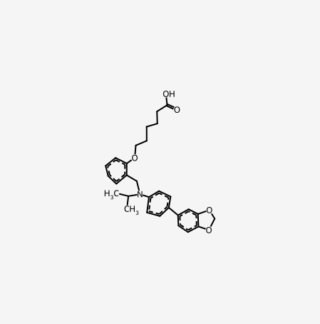 CC(C)N(Cc1ccccc1OCCCCCC(=O)O)c1ccc(-c2ccc3c(c2)OCO3)cc1